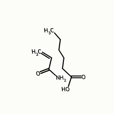 C=CC(N)=O.CCCCCC(=O)O